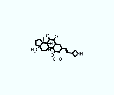 C[C@@]12CCC[C@H]1[C@@H]1C(=O)C(=O)C3CC(C=CC4CNC4)CC(OC=O)[C@]3(C)[C@@H]1CC2